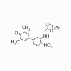 Cc1cc(-c2ccc([N+](=O)[O-])c(NCC(C)OC(C)C)c2)cn(C)c1=O